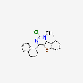 CN1C(Cl)=NC(c2cccc3ccccc23)=C2Sc3ccccc3C21